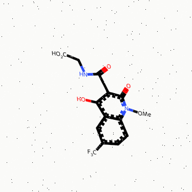 COn1c(=O)c(C(=O)NCC(=O)O)c(O)c2cc(C(F)(F)F)ccc21